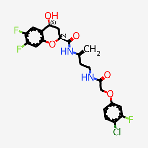 C=C(CCNC(=O)COc1ccc(Cl)c(F)c1)NC(=O)[C@@H]1C[C@H](O)c2cc(F)c(F)cc2O1